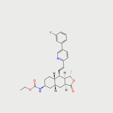 CCOC(=O)N[C@H]1CC[C@H]2[C@@H](C1)C[C@@H]1C(=O)O[C@@H](C)[C@@H]1[C@@H]2/C=C/c1ccc(-c2cccc(F)c2)cn1